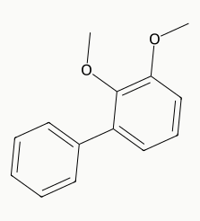 COc1cccc(-c2ccccc2)c1OC